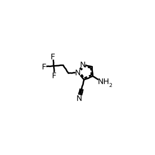 N#Cc1c(N)cnn1CCC(F)(F)F